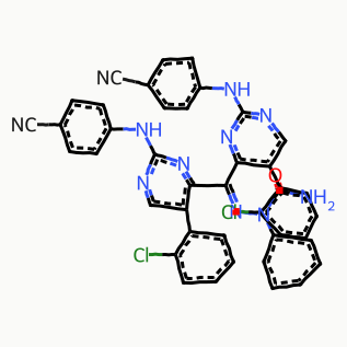 N#Cc1ccc(Nc2ncc(-c3ccccc3Cl)c(C(=NN(C(N)=O)c3ccccc3)c3nc(Nc4ccc(C#N)cc4)ncc3-c3ccccc3Cl)n2)cc1